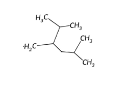 [CH2]C(CC(C)C)C(C)C